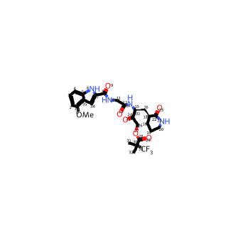 COc1cccc2[nH]c(C(=O)NCC(=O)N[C@@H](C[C@@H]3CCCNC3=O)C(=O)COC(=O)C(C)(C)C(F)(F)F)cc12